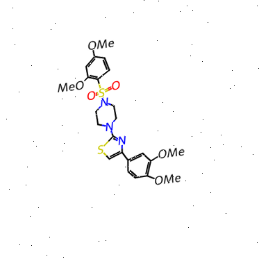 COc1ccc(S(=O)(=O)N2CCN(c3nc(-c4ccc(OC)c(OC)c4)cs3)CC2)c(OC)c1